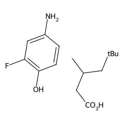 CC(CC(=O)O)CC(C)(C)C.Nc1ccc(O)c(F)c1